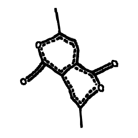 Cc1cc2c(=O)oc(C)cc2c(=O)o1